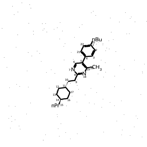 CCCCc1ccc(-c2cnc(CC[C@H]3CC[C@H](CCC)CC3)nc2C)cc1